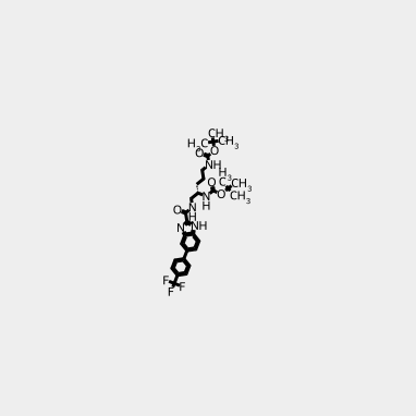 CC(C)(C)OC(=O)NCCC[C@@H](CNC(=O)c1nc2cc(-c3ccc(C(F)(F)F)cc3)ccc2[nH]1)NC(=O)OC(C)(C)C